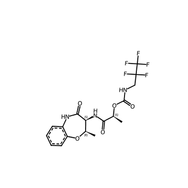 C[C@H](OC(=O)NCC(F)(F)C(F)(F)F)C(=O)N[C@@H]1C(=O)Nc2ccccc2O[C@@H]1C